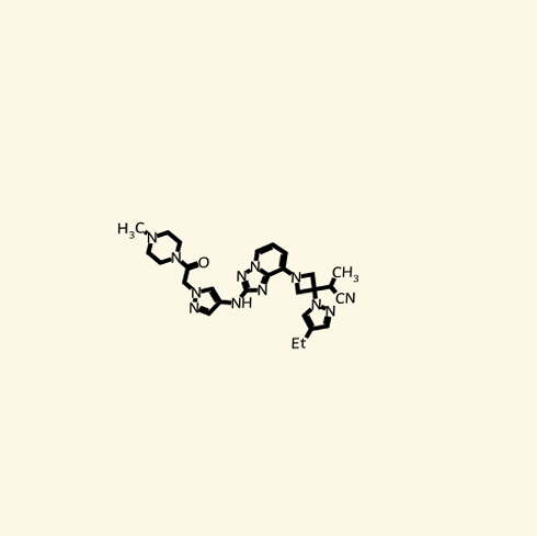 CCc1cnn(C2(C(C)C#N)CN(c3cccn4nc(Nc5cnn(CC(=O)N6CCN(C)CC6)c5)nc34)C2)c1